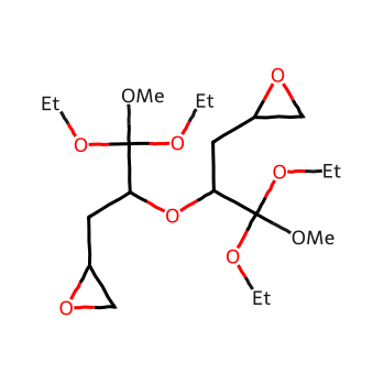 CCOC(OC)(OCC)C(CC1CO1)OC(CC1CO1)C(OC)(OCC)OCC